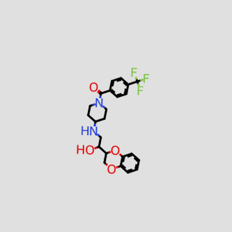 O=C(c1ccc(C(F)(F)F)cc1)N1CCC(NCC(O)C2COc3ccccc3O2)CC1